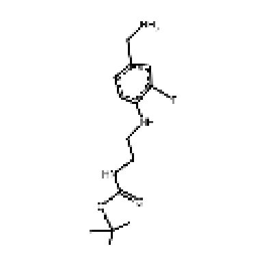 CC(C)(C)OC(=O)NCCNc1ccc(CN)cc1F